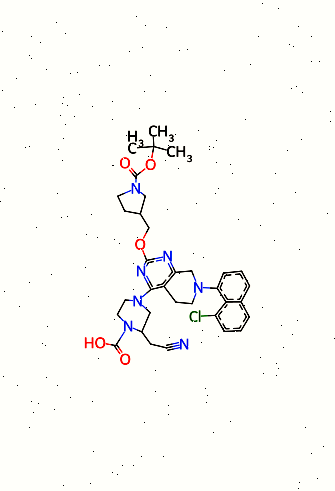 CC(C)(C)OC(=O)N1CCC(COc2nc3c(c(N4CCN(C(=O)O)C(CC#N)C4)n2)CCN(c2cccc4cccc(Cl)c24)C3)C1